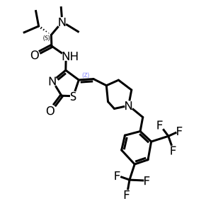 CC(C)[C@@H](C(=O)NC1=NC(=O)S/C1=C\C1CCN(Cc2ccc(C(F)(F)F)cc2C(F)(F)F)CC1)N(C)C